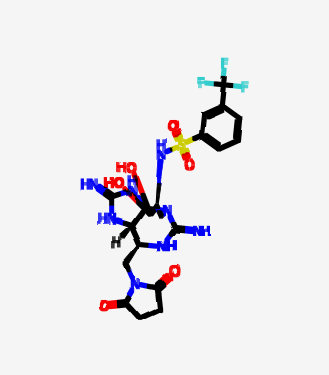 N=C1N[C@H]2[C@H](CN3C(=O)CCC3=O)NC(=N)N3C[C@H](NS(=O)(=O)c4cccc(C(F)(F)F)c4)C(O)(O)[C@]23N1